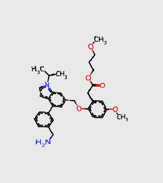 COCCCOC(=O)Cc1cc(OC)ccc1OCc1cc(-c2cccc(CN)c2)c2ccn(C(C)C)c2c1